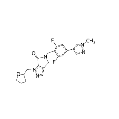 Cn1cc(-c2cc(F)c(CN3Cc4cnn(CC5CCCO5)c4C3=O)c(F)c2)cn1